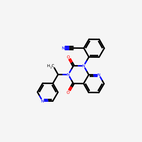 CC(c1ccncc1)n1c(=O)c2cccnc2n(-c2ccccc2C#N)c1=O